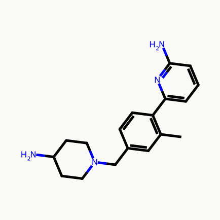 Cc1cc(CN2CCC(N)CC2)ccc1-c1cccc(N)n1